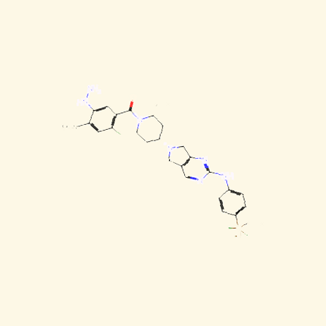 CNc1cc(F)c(C(=O)N2CC[C@@H](N3Cc4cnc(Nc5ccc([SH](C)(F)(F)F)cc5)nc4C3)C[C@H]2C)cc1NN